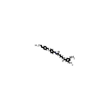 CCCC1CCC(COc2ccc(/C=C/C(=O)OCCCCOC(=O)c3cc(N)cc(N)c3)cc2)CC1